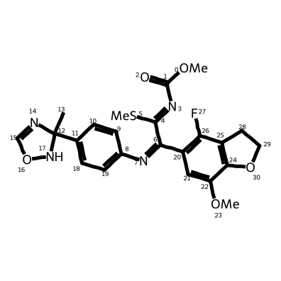 COC(=O)N=C(SC)C(=Nc1ccc(C2(C)N=CON2)cc1)c1cc(OC)c2c(c1F)CCO2